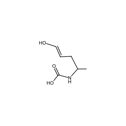 CC(CC=CO)NC(=O)O